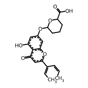 C/C=C\C(=C/C)c1cc(=O)c2c(O)cc(OC3CCCC(C(=O)O)O3)cc2o1